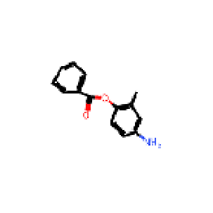 Cc1cc(N)ccc1OC(=O)c1ccccc1